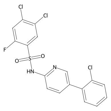 O=S(=O)(Nc1ccc(-c2ccccc2Cl)cn1)c1cc(Cl)c(Cl)cc1F